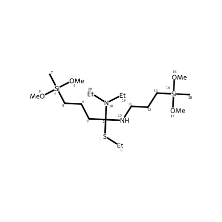 CCSC(CCC[Si](C)(OC)OC)(NCCC[Si](C)(OC)OC)N(CC)CC